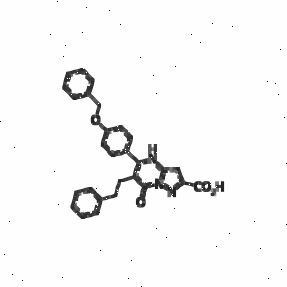 O=C(O)c1cc2[nH]c(-c3ccc(OCc4ccccc4)cc3)c(CCc3ccccc3)c(=O)n2n1